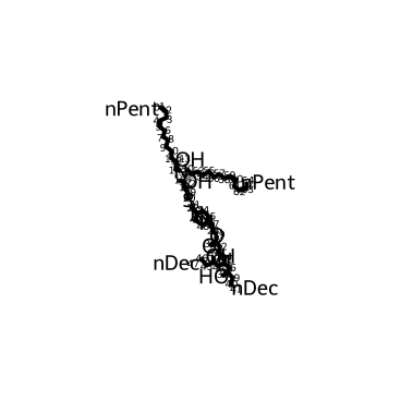 CCCCC/C=C\C/C=C\CCCCCC[C@H](O)CN(CCCSSCCN1CCN(CCOC(=O)CCCN(CC(O)CCCCCCCCCCCC)CC(O)CCCCCCCCCCCC)CC1)C[C@@H](O)CCCCCC/C=C\C/C=C\CCCCC